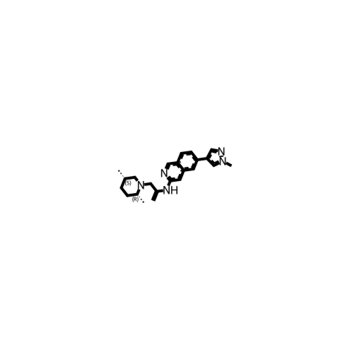 C=C(CN1C[C@@H](C)CC[C@H]1C)Nc1cc2cc(-c3cnn(C)c3)ccc2cn1